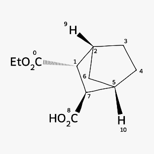 CCOC(=O)[C@@H]1[C@@H]2CC[C@@H](C2)[C@H]1C(=O)O